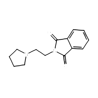 O=C1c2ccccc2C(=O)N1CCN1CCCC1